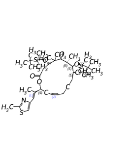 C/C(=C\c1csc(C)n1)[C@@H]1C/C=C\CCC[C@H](C)[C@H](O[Si](C)(C)C(C)(C)C)[C@@H](C)C(=O)C(C)(C)[C@@H](O[Si](C)(C)C(C)(C)C)CC(=O)O1